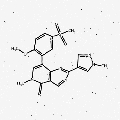 COc1ccc(S(C)(=O)=O)cc1-c1cn(C)c(=O)c2cnc(-c3cnn(C)c3)nc12